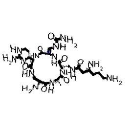 C[C@@H]1NC(=O)[C@@H](N)CNC(=O)[C@H]([C@H]2CCNC(N)=N2)NC(=O)/C(=C/NC(N)=O)NC(=O)[C@H](CNC(=O)C[C@@H](N)CCCN)NC1=O